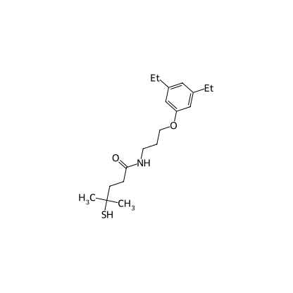 CCc1cc(CC)cc(OCCCNC(=O)CCC(C)(C)S)c1